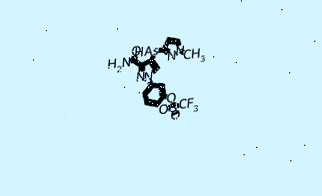 Cn1ccc([AsH]c2cn(-c3cccc(OS(=O)(=O)C(F)(F)F)c3)nc2C(N)=O)n1